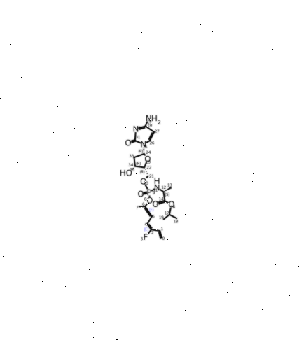 C=C/C(F)=C\C=C(/C)OP(=O)(N[C@@H](C)C(=O)OC(C)C)OC[C@H]1O[C@@H](n2ccc(N)nc2=O)C[C@H]1O